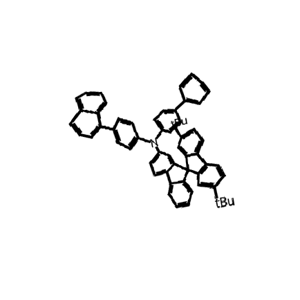 CC(C)(C)c1ccc2c(c1)C1(c3ccccc3-c3ccc(N(c4ccc(-c5ccccc5)cc4)c4ccc(-c5cccc6ccccc56)cc4)cc31)c1cc(C(C)(C)C)ccc1-2